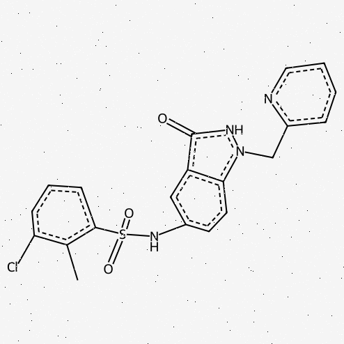 Cc1c(Cl)cccc1S(=O)(=O)Nc1ccc2c(c1)c(=O)[nH]n2Cc1ccccn1